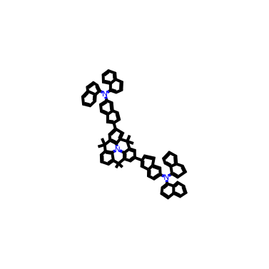 CC1(C)c2cccc3c2N2c4c1cc(-c1ccc5cc(N(c6cccc7ccccc67)c6cccc7ccccc67)ccc5c1)cc4C(C)(C)c1cc(-c4ccc5cc(N(c6cccc7ccccc67)c6cccc7ccccc67)ccc5c4)cc(c12)C3(C)C